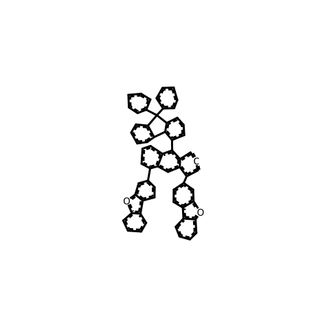 c1ccc(C2(c3ccccc3)c3ccccc3-c3c(-c4c5cccc(-c6ccc7c(c6)oc6ccccc67)c5cc5c(-c6ccc7c(c6)oc6ccccc67)cccc45)cccc32)cc1